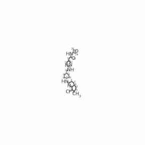 Cc1ccc2ccc(N[C@H]3CC[C@H](CNc4ncc(CC(=O)NC5COC5)cn4)CC3)nc2c1Cl